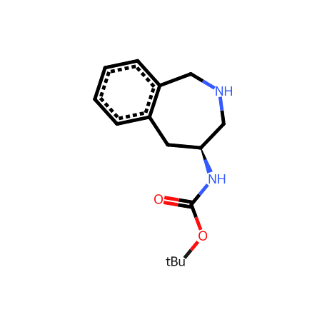 CC(C)(C)OC(=O)N[C@@H]1CNCc2ccccc2C1